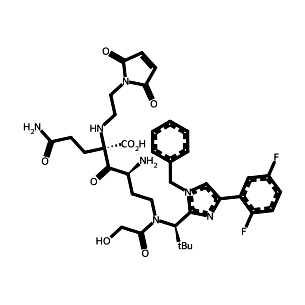 CC(C)(C)[C@H](c1nc(-c2cc(F)ccc2F)cn1Cc1ccccc1)N(CC[C@H](N)C(=O)[C@@](CCC(N)=O)(NCCN1C(=O)C=CC1=O)C(=O)O)C(=O)CO